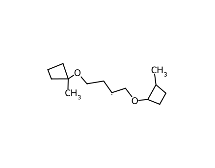 CC1CCC1OC[CH]CCOC1(C)CCC1